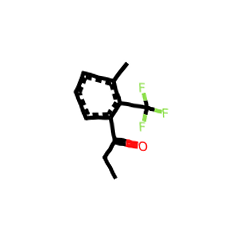 CCC(=O)c1cccc(C)c1C(F)(F)F